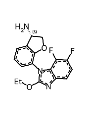 CCOc1nc2ccc(F)c(F)c2n1-c1cccc2c1OC[C@H]2N